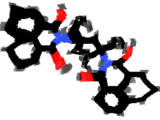 CC(C)(CC(C)(C)N1C(=O)c2cccc3c2C(CCC3)C1=O)N1C(=O)c2cccc3c2C(CCC3)C1=O